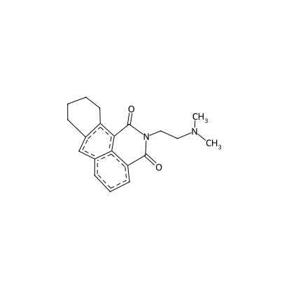 CN(C)CCN1C(=O)c2cccc3cc4c(c(c23)C1=O)CCCC4